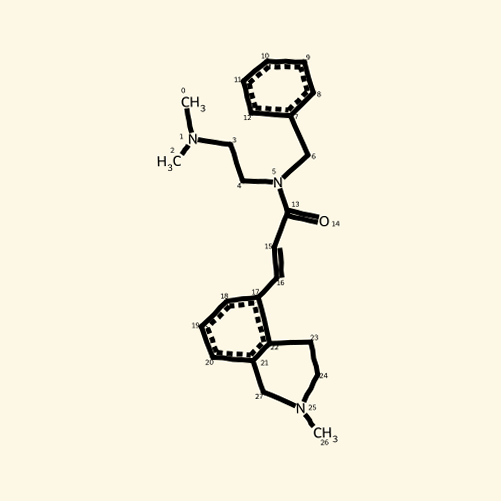 CN(C)CCN(Cc1ccccc1)C(=O)C=Cc1cccc2c1CCN(C)C2